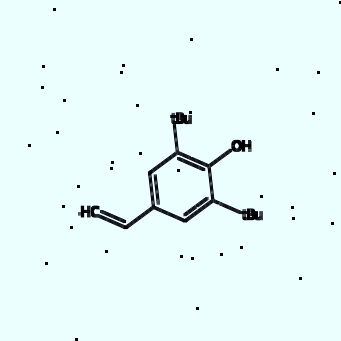 [CH]=Cc1cc(C(C)(C)C)c(O)c(C(C)(C)C)c1